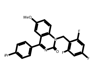 COc1ccc2c(c1)c(-c1ccc(C(C)C)cc1)nc(=O)n2Cc1c(F)cc(F)cc1F